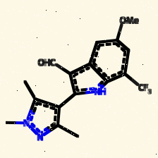 COc1cc(C(F)(F)F)c2[nH]c(-c3c(C)nn(C)c3C)c(C=O)c2c1